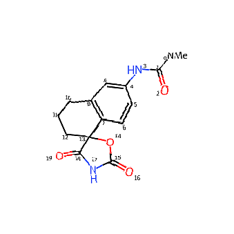 CNC(=O)Nc1ccc2c(c1)CCCC21OC(=O)NC1=O